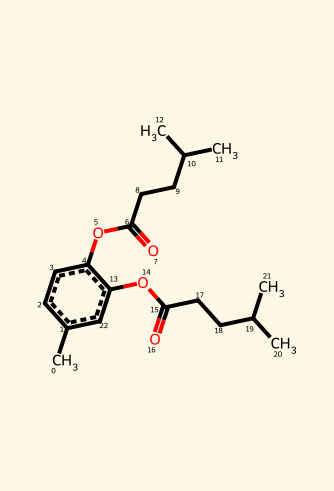 Cc1ccc(OC(=O)CCC(C)C)c(OC(=O)CCC(C)C)c1